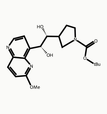 COc1ccc2nccc([C@@H](O)[C@H](O)C3CCN(C(=O)OC(C)(C)C)C3)c2n1